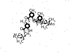 CC[N+](CC)(CC)CC.CC[N+](CC)(CC)CC.Cc1ccc(S)c(C(=O)[S-])c1.Cc1ccc(S)c(C(=O)[S-])c1.Cc1ccc(S)c(C(=O)[S-])c1.[Mo]